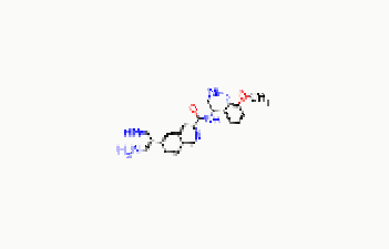 COc1cccc(C(CN)NC(=O)c2cc3cc(/C(C=N)=C/N)ccc3cn2)c1